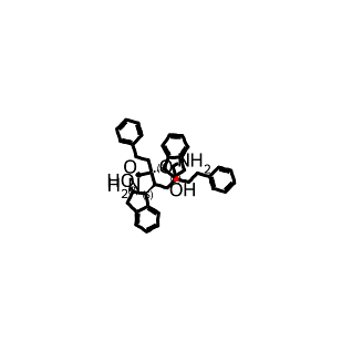 NC(=O)C(CCc1ccccc1)CC([C@H]1c2ccccc2C[C@H]1O)C(CCc1ccccc1)(C(N)=O)[C@@H]1c2ccccc2C[C@H]1O